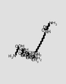 CC(O)C(N)C(=O)O.CC(O)C(N)C(=O)O.CCCCCCCCCCCCCCCCNC(CCCCN)C(=O)O.NC(CO)C(=O)O.NCCCCC(N)C(=O)O